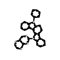 c1ccc(-n2c3ccccc3c3c2ccc2c4ccccc4n(-c4ncc5nccnc5n4)c23)cc1